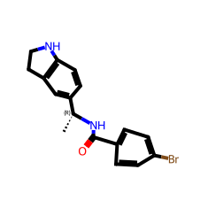 C[C@@H](NC(=O)c1ccc(Br)cc1)c1ccc2c(c1)CCN2